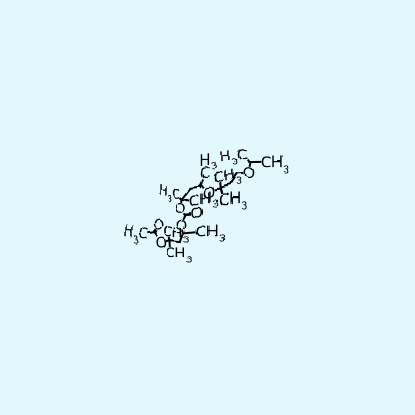 CC(=O)OC(C)(C)CC(C)OC(=O)OC(C)(C)CC(C)OC(C)(C)CCOC(C)C